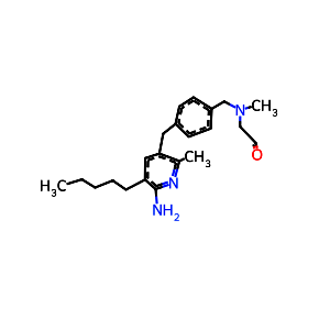 CCCCCc1cc(Cc2ccc(CN(C)CC=O)cc2)c(C)nc1N